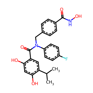 CC(C)c1cc(C(=O)N(Cc2ccc(C(=O)NO)cc2)c2ccc(F)cc2)c(O)cc1O